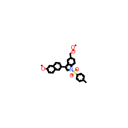 COOCc1ccc2c(c1)c(-c1ccc3cc(OC)ccc3c1)cn2S(=O)(=O)c1ccc(C)cc1